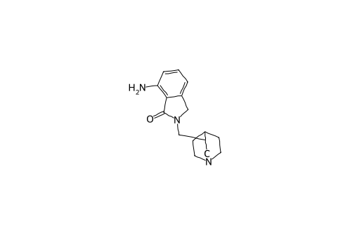 Nc1cccc2c1C(=O)N(CC1CN3CCC1CC3)C2